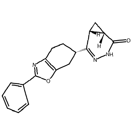 O=C1NN=C([C@H]2CCc3nc(-c4ccccc4)oc3C2)[C@@H]2C[C@H]12